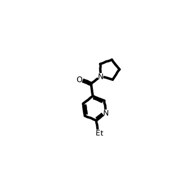 CCc1ccc(C(=O)N2CCCC2)cn1